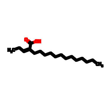 CCC=C(CCCCCCCCCCCCC)C(=O)O